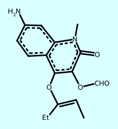 CC=C(CC)Oc1c(OC=O)c(=O)n(C)c2cc(N)ccc12